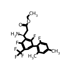 CCOC(=O)C[C@H](N)c1c(F)c(-c2c(C)cc(C)cc2F)cc(C(F)(F)F)c1F